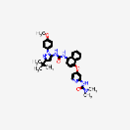 COc1ccc(-n2nc(C(C)(C)C)cc2NC(=O)Nc2ccc(Oc3ccnc(NC(=O)N(C)C)c3)c3ccccc23)cc1